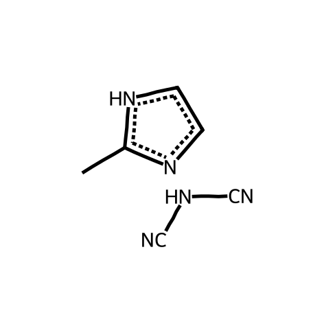 Cc1ncc[nH]1.N#CNC#N